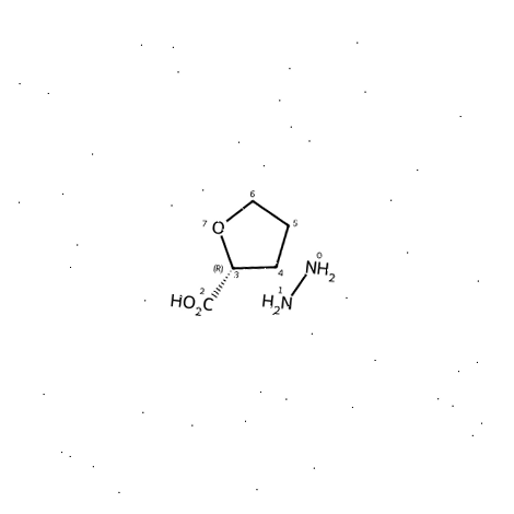 NN.O=C(O)[C@H]1CCCO1